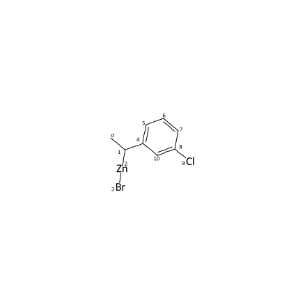 C[CH]([Zn][Br])c1cccc(Cl)c1